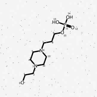 [O]CCN1CCN(CCCOP(=O)(O)O)CC1